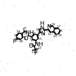 C[C@@H](NC(=O)c1cc(NC(=O)C(C)(C)F)cc(-c2c[nH]c(-c3cc4ccccc4cn3)n2)c1)c1ccc(F)cc1